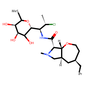 CSC1O[C@H]([C@H](NC(=O)[C@@H]2[C@@H]3OCC[C@@H](CC(C)C)C[C@H]3CN2C)[C@H](C)Cl)C(O)[C@@H](O)[C@H]1O